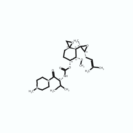 CO[C@@H]1[C@H](OC(=O)N[C@@H](C(=O)N2CCN(C)CC2)C(C)C)CC[C@]2(CO2)[C@H]1[C@@]1(C)O[C@@H]1CC=C(C)C